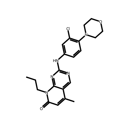 CCCn1c(=O)cc(C)c2cnc(Nc3ccc(N4CCOCC4)c(Cl)c3)nc21